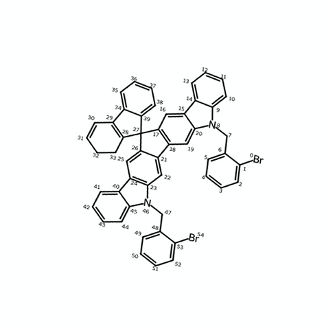 Brc1ccccc1Cn1c2ccccc2c2cc3c(cc21)-c1cc2c(cc1C31C3=C(C=CCC3)c3ccccc31)c1ccccc1n2Cc1ccccc1Br